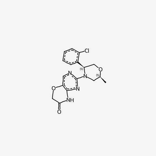 C[C@H]1CN(c2ncc3c(n2)NC(=O)CO3)[C@@H](c2ccccc2Cl)CO1